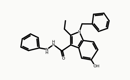 CCc1c(C(=O)NNc2ccccc2)c2cc(O)ccc2n1Cc1ccccc1